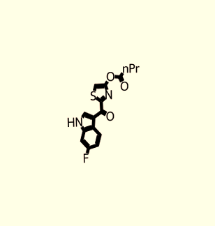 CCCC(=O)Oc1csc(C(=O)c2c[nH]c3cc(F)ccc23)n1